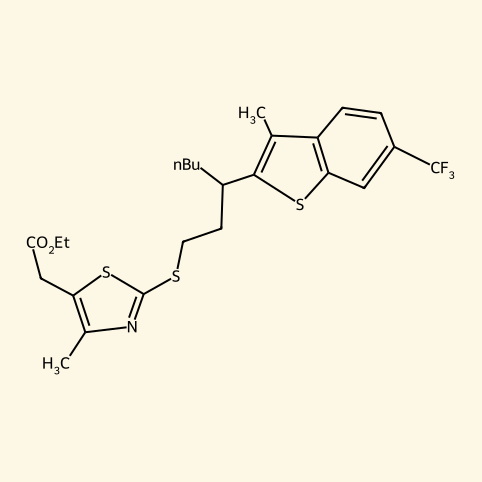 CCCCC(CCSc1nc(C)c(CC(=O)OCC)s1)c1sc2cc(C(F)(F)F)ccc2c1C